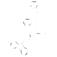 O=C(NC(CCCCN(Cc1ccccn1)Cc1ccccn1)C(=O)O)OCC1c2ccccc2-c2ccccc21